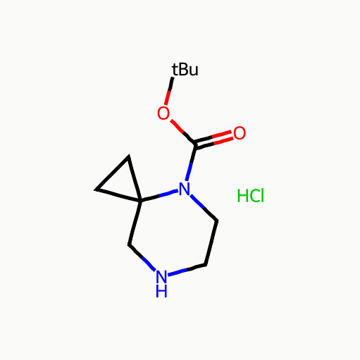 CC(C)(C)OC(=O)N1CCNCC12CC2.Cl